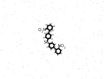 O=[N+]([O-])c1ccccc1-c1ccc([Se]c2ccc(-c3ccccc3[N+](=O)[O-])cc2)cc1